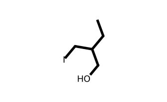 CCC(CO)CI